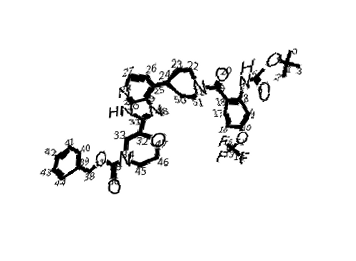 CC(C)(C)OC(=O)Nc1cc(OC(F)(F)F)ccc1C(=O)N1CCC(c2ccnc3[nH]c(C4CN(C(=O)OCc5ccccc5)CCO4)nc23)CC1